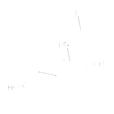 O=C(O)CC[C@H](NCF)C(=O)O